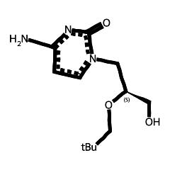 CC(C)(C)CO[C@H](CO)Cn1ccc(N)nc1=O